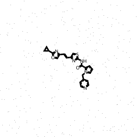 O=C(Nc1nc(/C=C/c2coc(C3CC3)n2)cs1)c1cccn1Cc1ccncc1